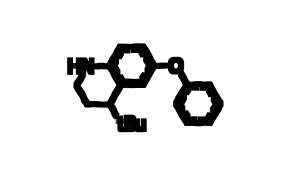 CC(C)(C)C1CCNc2ccc(Oc3ccccc3)cc21